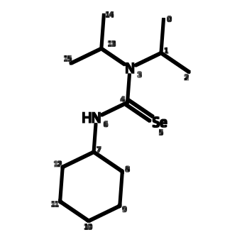 CC(C)N(C(=[Se])NC1CCCCC1)C(C)C